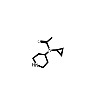 CC(=O)N(C1CCNCC1)C1CC1